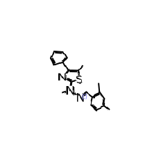 Cc1ccc(/C=N/N(C)c2nc(-c3ccccc3)c(C)s2)c(C)c1